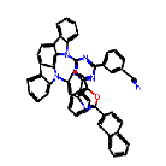 N#Cc1cccc(-c2nc(-c3ccccc3)nc(-n3c4ccccc4c4ccc5c6ccccc6n(-c6ccc7oc(-c8ccc9ccccc9c8)nc7c6)c5c43)n2)c1